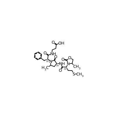 CSCC[C@@H](C(=O)N[C@H]1CC(C)N([C@@H](Cc2ccccc2)C(=O)NCCC(=O)O)C1=O)N1C(=O)OCC1C